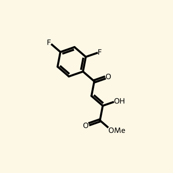 COC(=O)/C(O)=C/C(=O)c1ccc(F)cc1F